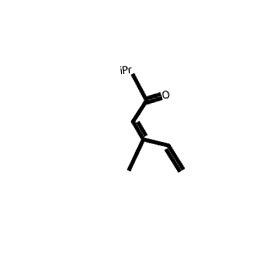 C=C/C(C)=C\C(=O)C(C)C